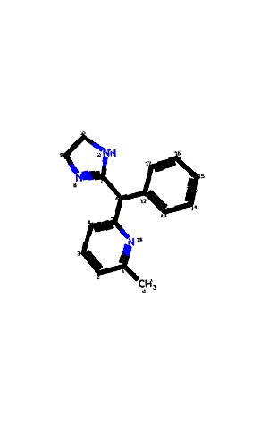 Cc1cccc(C(C2=NCCN2)c2ccccc2)n1